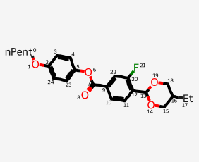 CCCCCOc1ccc(OC(=O)c2ccc(C3OCC(CC)CO3)c(F)c2)cc1